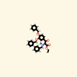 CCOC(=O)C(C(=O)c1ccc(OCc2ccccc2)c(OCc2ccccc2)c1)N(C)Cc1ccccc1